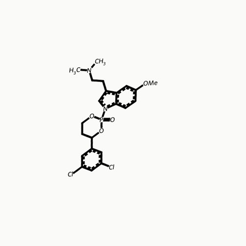 COc1ccc2c(c1)c(CCN(C)C)cn2P1(=O)OCCC(c2cc(Cl)cc(Cl)c2)O1